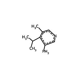 Cc1cncc(P)c1C(C)C